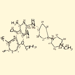 COc1ccc(F)c(F)c1C(=O)c1cnc(N[C@H]2CC[C@H](N3CCN(C)CC3)CC2)nc1N